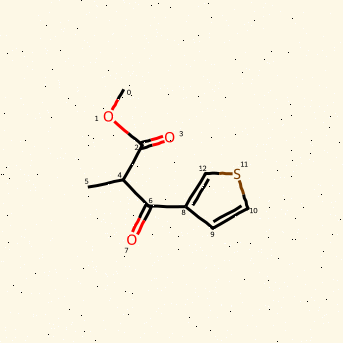 COC(=O)C(C)C(=O)c1ccsc1